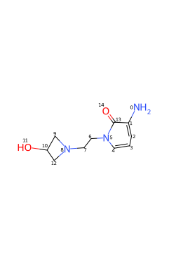 Nc1cccn(CCN2CC(O)C2)c1=O